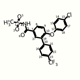 CS(=O)(=O)NC(=O)c1ccc(Oc2ccc(Cl)cc2)c(-c2ccc(C(F)(F)F)cc2)c1